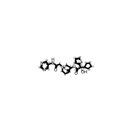 O=C(C[N+]12CCC(CC1)C(OC(=O)[C@@](O)(c1cccs1)C1CCCC1)C2)Nc1cncnc1